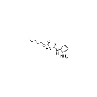 CCCCCOC(=O)NC(=S)Nc1ccccc1N